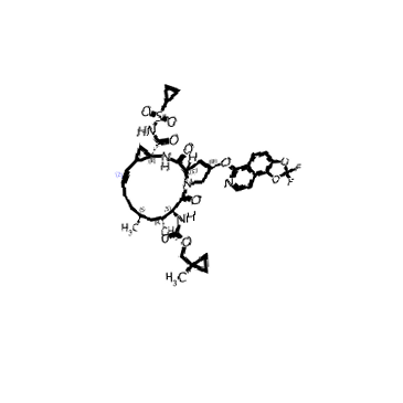 C[C@H]1CC/C=C\C2C[C@@]2(C(=O)NS(=O)(=O)C2CC2)NC(=O)[C@@H]2C[C@@H](Oc3nccc4c5c(ccc34)OC(F)(F)O5)CN2C(=O)[C@@H](NC(=O)OCC2(C)CC2)[C@H](C)C1